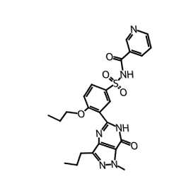 CCCOc1ccc(S(=O)(=O)NC(=O)c2cccnc2)cc1-c1nc2c(CCC)nn(C)c2c(=O)[nH]1